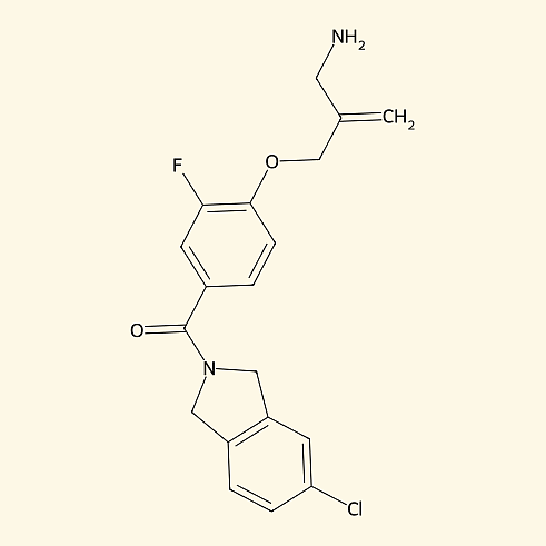 C=C(CN)COc1ccc(C(=O)N2Cc3ccc(Cl)cc3C2)cc1F